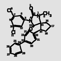 CN1C(=O)N(c2cc(Cl)cc(Cl)c2)C(=O)[C@]12CCC[C@H]2c1ccc(-c2ccccc2)cc1